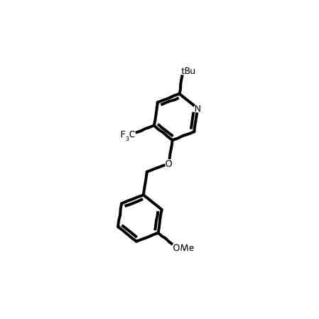 COc1cccc(COc2cnc(C(C)(C)C)cc2C(F)(F)F)c1